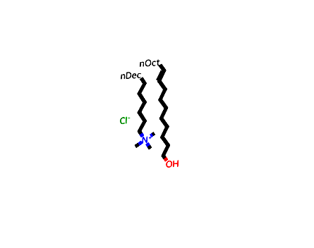 CCCCCCCCC=CCCCCCCCCO.CCCCCCCCCCCCCCCC[N+](C)(C)C.[Cl-]